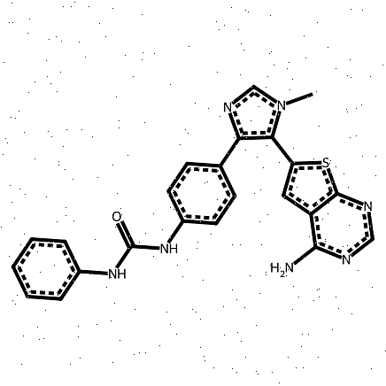 Cn1cnc(-c2ccc(NC(=O)Nc3ccccc3)cc2)c1-c1cc2c(N)ncnc2s1